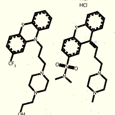 CN1CCN(CC/C=C2/c3ccccc3Sc3ccc(S(=O)(=O)N(C)C)cc32)CC1.Cl.Cl.OCCN1CCN(CCCN2c3ccccc3Sc3ccc(C(F)(F)F)cc32)CC1